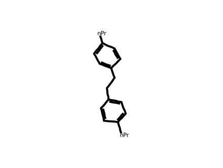 CCCc1ccc(CCc2ccc(CCC)cc2)cc1